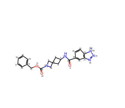 O=C(NC1CC2(C1)CN(C(=O)OCc1ccccc1)C2)c1ccc2[nH]nnc2c1